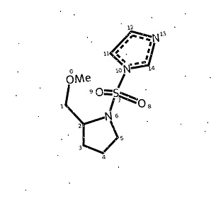 COCC1CCCN1S(=O)(=O)n1ccnc1